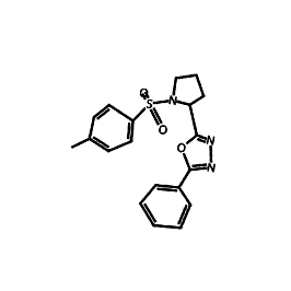 Cc1ccc(S(=O)(=O)N2CCCC2c2nnc(-c3ccccc3)o2)cc1